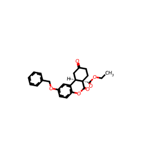 CCOC(=O)[C@@]12CCC(=O)C[C@@H]1c1cc(OCc3ccccc3)ccc1OC2=O